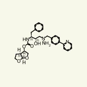 NN(Cc1ccc(-c2ccccn2)cc1)C[C@H](O)[C@H](Cc1ccccc1)NC(=O)O[C@H]1CO[C@H]2OCC[C@H]21